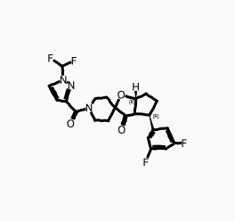 O=C(c1ccn(C(F)F)n1)N1CCC2(CC1)O[C@@H]1CC[C@@H](c3cc(F)cc(F)c3)C1C2=O